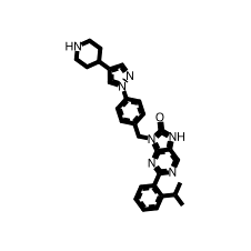 CC(C)c1ccccc1-c1ncc2[nH]c(=O)n(Cc3ccc(-n4cc(C5CCNCC5)cn4)cc3)c2n1